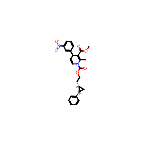 COC(=O)C1=C(C)N(C(=O)OCC[C@@H]2C[C@H]2c2ccccc2)C=CC1c1cccc([N+](=O)[O-])c1